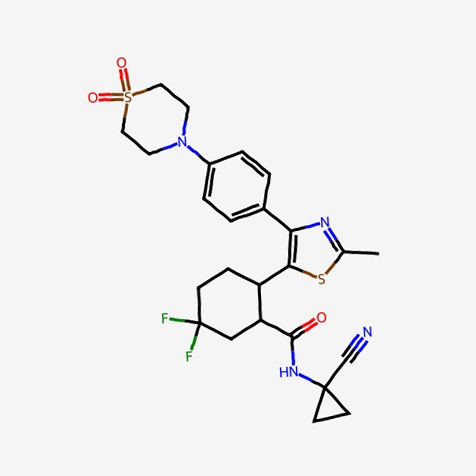 Cc1nc(-c2ccc(N3CCS(=O)(=O)CC3)cc2)c(C2CCC(F)(F)CC2C(=O)NC2(C#N)CC2)s1